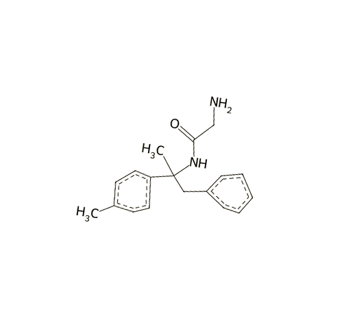 Cc1ccc(C(C)(Cc2ccccc2)NC(=O)CN)cc1